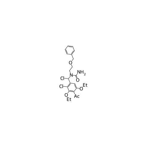 CCOc1cc(C(Cl)N(CCOCc2ccccc2)C(N)=O)c(Cl)c(OCC)c1C(C)=O